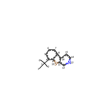 CC(C)(C)c1cccc2c1sc1cnccc12